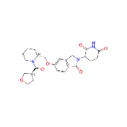 O=C1CCC(N2Cc3cc(OC[C@H]4CCCCN4C(=O)[C@H]4CCOC4)ccc3C2=O)C(=O)N1